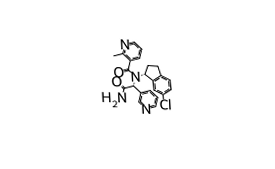 Cc1ncccc1C(=O)N([C@@H]1CCc2ccc(Cl)cc21)[C@@H](C(N)=O)c1cccnc1